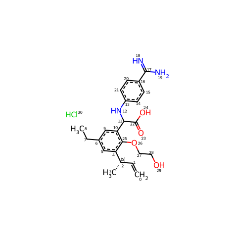 C=C[C@H](C)c1cc(CC)cc(C(Nc2ccc(C(=N)N)cc2)C(=O)O)c1OCCO.Cl